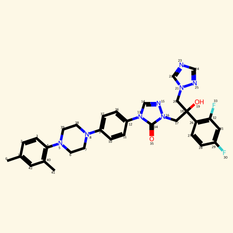 Cc1ccc(N2CCN(c3ccc(-n4cnn(CC(O)(Cn5cncn5)c5ccc(F)cc5F)c4=O)cc3)CC2)c(C)c1